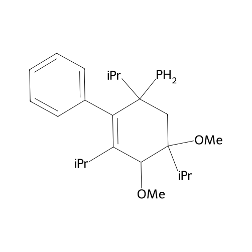 COC1C(C(C)C)=C(c2ccccc2)C(P)(C(C)C)CC1(OC)C(C)C